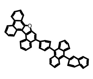 c1ccc2cc(-c3c4ccccc4c(-c4ccc(-c5cc6oc7c8ccccc8c8ccccc8c7c6c6ccccc56)cc4)c4ccccc34)ccc2c1